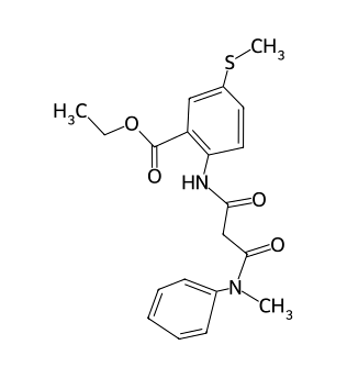 CCOC(=O)c1cc(SC)ccc1NC(=O)CC(=O)N(C)c1ccccc1